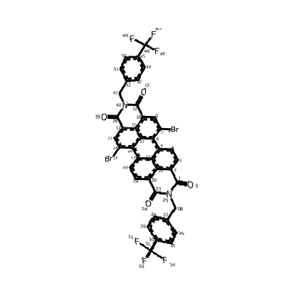 O=C1c2ccc3c4c(Br)cc5c6c(cc(Br)c(c7ccc(c2c37)C(=O)N1Cc1ccc(C(F)(F)F)cc1)c64)C(=O)N(Cc1ccc(C(F)(F)F)cc1)C5=O